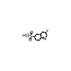 Cc1cnc2ccc(S(=O)(=O)O)cc2c1